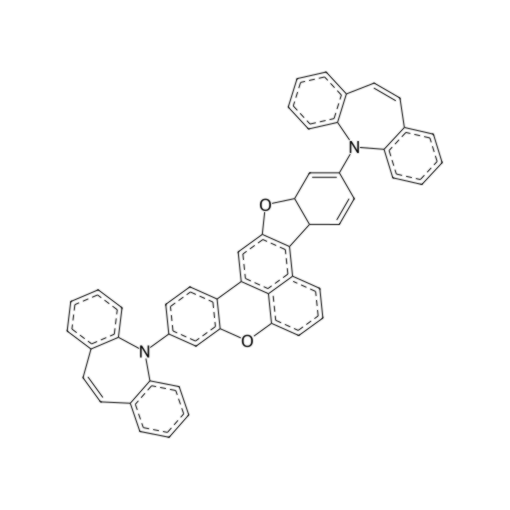 C1=CC2c3c(cc4c5c(cccc35)Oc3cc(N5c6ccccc6C=Cc6ccccc65)ccc3-4)OC2C=C1N1c2ccccc2C=Cc2ccccc21